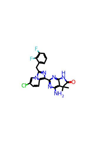 CC1(C)C(=O)Nc2nc(-c3nc(Cc4cccc(F)c4F)n4cc(Cl)ccc34)nc(N)c21